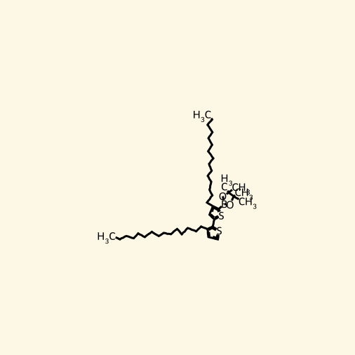 CCCCCCCCCCCCCCCc1cc(-c2sccc2CCCCCCCCCCCCCCC)sc1B1OC(C)(C)C(C)(C)O1